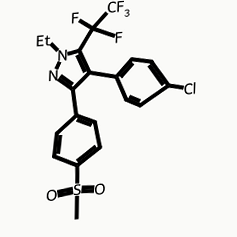 CCn1nc(-c2ccc(S(C)(=O)=O)cc2)c(-c2ccc(Cl)cc2)c1C(F)(F)C(F)(F)F